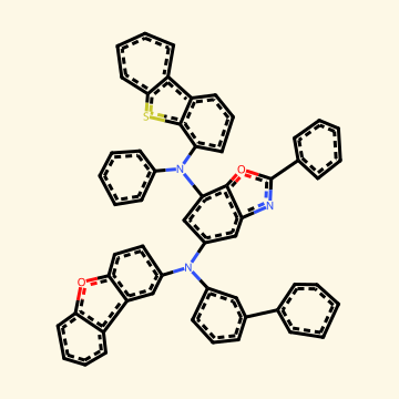 c1ccc(-c2cccc(N(c3cc(N(c4ccccc4)c4cccc5c4sc4ccccc45)c4oc(-c5ccccc5)nc4c3)c3ccc4oc5ccccc5c4c3)c2)cc1